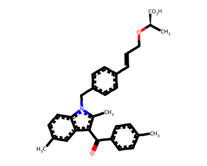 Cc1ccc(C(=O)c2c(C)n(Cc3ccc(/C=C/CO[C@H](C)C(=O)O)cc3)c3ccc(C)cc23)cc1